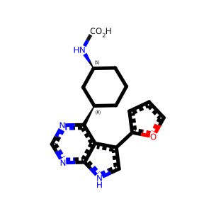 O=C(O)N[C@H]1CCC[C@@H](c2ncnc3[nH]cc(-c4ccco4)c23)C1